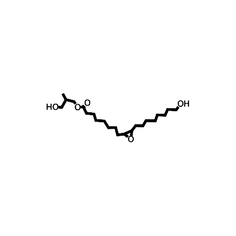 CC(CO)COC(=O)CCCCCCCC1OC1CCCCCCCCO